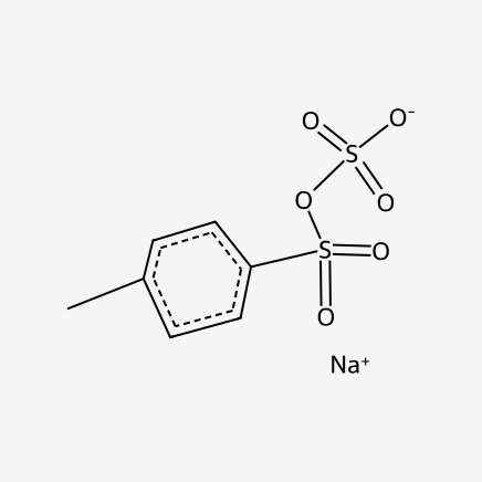 Cc1ccc(S(=O)(=O)OS(=O)(=O)[O-])cc1.[Na+]